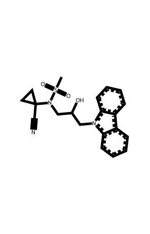 CS(=O)(=O)N(CC(O)Cn1c2ccccc2c2ccccc21)C1(C#N)CC1